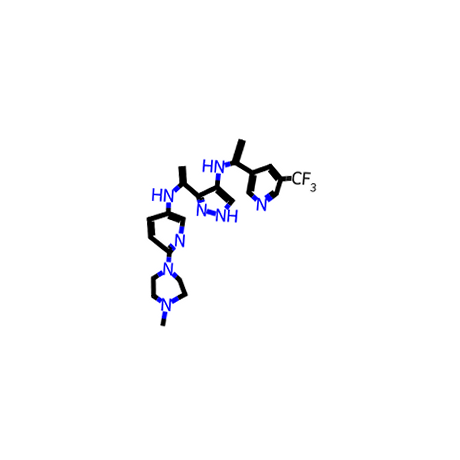 C=C(Nc1c[nH]nc1C(=C)Nc1ccc(N2CCN(C)CC2)nc1)c1cncc(C(F)(F)F)c1